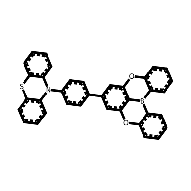 c1ccc2c(c1)Oc1cc(-c3ccc(N4c5ccccc5Sc5ccccc54)cc3)cc3c1B2c1ccccc1O3